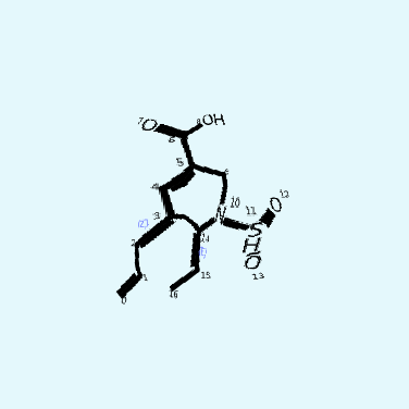 C=C/C=C1/C=C(C(=O)O)CN([SH](=O)=O)/C1=C/C